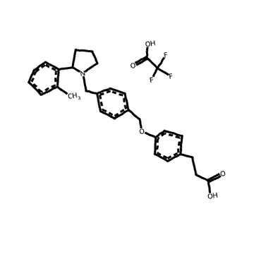 Cc1ccccc1C1CCCN1Cc1ccc(COc2ccc(CCC(=O)O)cc2)cc1.O=C(O)C(F)(F)F